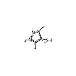 Cc1nn(C)c(C)c1S